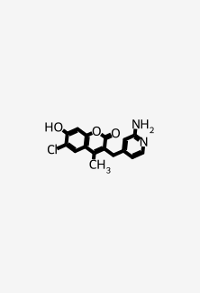 Cc1c(Cc2ccnc(N)c2)c(=O)oc2cc(O)c(Cl)cc12